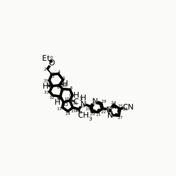 CCOC[C@H]1CC[C@@H]2C3CC[C@@]4(C)C(CCC4[C@@H](C)Nc4ccc(-n5cc(C#N)cn5)cn4)[C@@H]3CC[C@@H]2C1